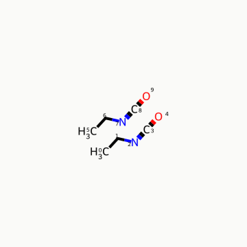 CCN=C=O.CCN=C=O